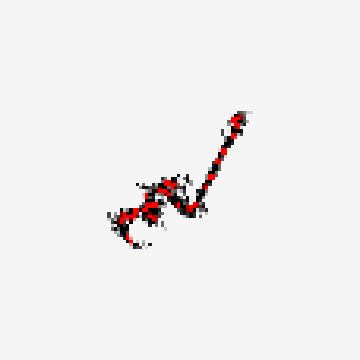 COCCOCCC(=O)N[C@H](C(=O)N[C@@H](C)C(=O)Nc1ccc(COC(=O)N2c3cc(OCCCCCOc4cc5c(cc4OC)C(=O)N4C=C(C)C[C@@]4(O)[C@H](O)N5C(=O)OCc4ccc(NC(=O)[C@H](C)NC(=O)[C@@H](NC(=O)CCOCCOCCOCCOCCOCCOCCOCCOCCNC(=O)CCN5C(=O)CC(C(C)C)C5=O)C(C)C)cc4)c(OC)cc3C(=O)N3C=C(C)C[C@H]3[C@@H]2O)cc1)C(C)C